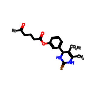 CCOC(=O)C1=C(C)NC(=S)NC1c1cccc(OC(=O)CCCC(=O)CC)c1